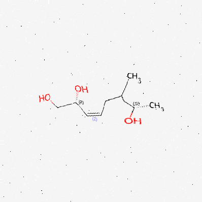 CC(C/C=C\[C@@H](O)CO)[C@H](C)O